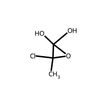 CC1(Cl)OC1(O)O